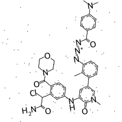 Cc1c(N=[N+]=NC(=O)c2ccc(N(C)C)cc2)cccc1-c1cc(Nc2ccc(C(=O)N3CCOCC3)c(C(Cl)C(N)=O)c2)c(=O)n(C)c1